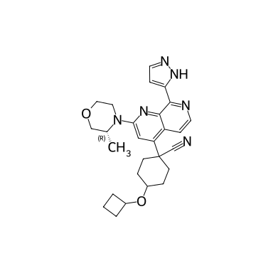 C[C@@H]1COCCN1c1cc(C2(C#N)CCC(OC3CCC3)CC2)c2ccnc(-c3ccn[nH]3)c2n1